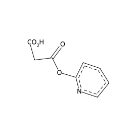 O=C(O)CC(=O)Oc1ccccn1